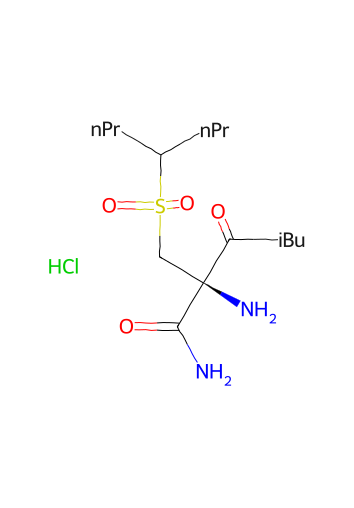 CCCC(CCC)S(=O)(=O)C[C@@](N)(C(N)=O)C(=O)C(C)CC.Cl